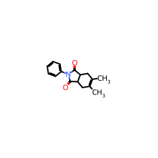 CC1=C(C)CC2C(=O)N(c3ccccc3)C(=O)C2C1